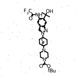 CC(C)(C)OC(=O)N1CCN(C23CCC(n4cc5cc(NC(=O)C(F)(F)F)c(C(C)(C)O)cc5n4)(CC2)CC3)CC1